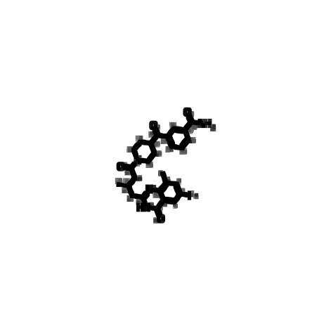 Cc1cc(F)cc2c(=O)[nH]c(C[C@@H](C)CC(=O)N3CCC(C(=O)c4cccc(C(N)=O)c4)CC3)nc12